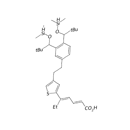 CCC(=CC=CC(=O)O)c1cc(CCc2ccc(C(O[SiH](C)C)C(C)(C)C)c(C(O[SiH](C)C)C(C)(C)C)c2)cs1